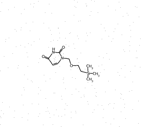 C[Si](C)(C)CCOCn1ccc(=O)[nH]c1=O